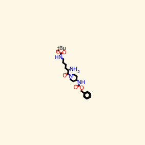 CC(C)(C)OC(=O)NCCCC[C@@H](N)C(=O)N1CCC(NC(=O)OCc2ccccc2)CC1